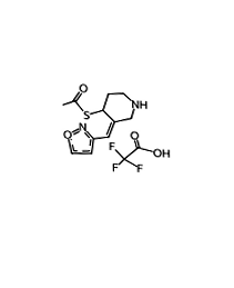 CC(=O)SC1CCNCC1=Cc1ccon1.O=C(O)C(F)(F)F